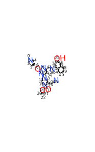 CN1CC[C@@H](COc2nc3c(c(N4CCN(C(=O)OC(C)(C)C)[C@@H](CC#N)C4)n2)CCN(c2cc(O)cc4ccccc24)C3)C1